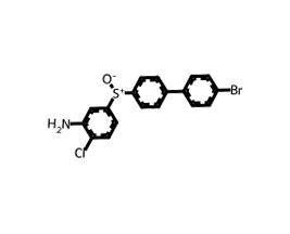 Nc1cc([S+]([O-])c2ccc(-c3ccc(Br)cc3)cc2)ccc1Cl